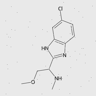 CNC(COC)c1nc2ccc(Cl)cc2[nH]1